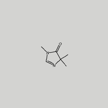 CN1C=NC(C)(C)C1=O